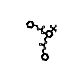 O=C(OCc1ccccc1)OCc1ccc(C(F)(F)F)cc1OC(=O)OCc1ccccc1